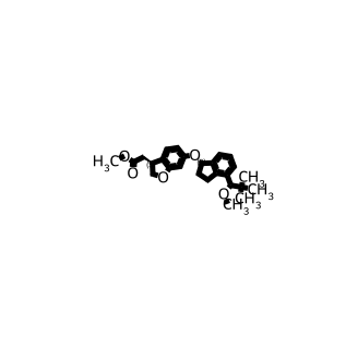 COC(=O)C[C@@H]1COc2cc(O[C@@H]3CCc4c(C(OC)C(C)(C)C)cccc43)ccc21